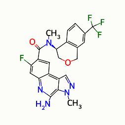 CN(C(=O)c1cc2c(cc1F)nc(N)c1c2cnn1C)[C@@H]1COCc2cc(C(F)(F)F)ccc21